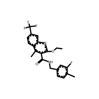 CCOc1nc2cc(C(F)(F)F)ccc2c(C)c1C(=O)NCc1ccc(C)c(F)c1